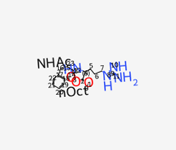 CCCCCCCCOC(=O)[C@H](CCCNC(=N)N)NC(=O)C(Cc1ccccc1)NC(C)=O